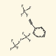 C#Cc1ccccc1.F[B-](F)(F)F.F[B-](F)(F)F.F[B-](F)(F)F